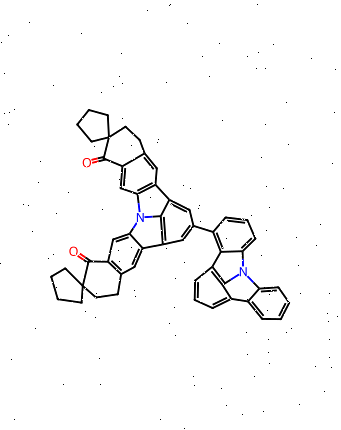 O=C1c2cc3c(cc2CCC12CCCC2)c1cc(-c2cccc4c2c2cccc5c6ccccc6n4c52)cc2c4cc5c(cc4n3c12)C(=O)C1(CCCC1)CC5